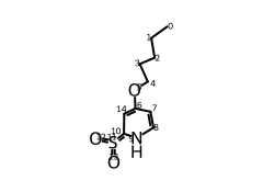 CCCCCOc1cc[nH]c(=S(=O)=O)c1